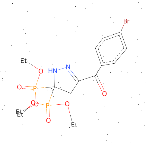 CCOP(=O)(OCC)C1(P(=O)(OCC)OCC)CC(C(=O)c2ccc(Br)cc2)=NN1